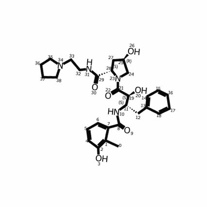 Cc1c(O)cccc1C(=O)N[C@@H](Cc1ccccc1)[C@H](O)C(=O)N1C[C@H](O)C[C@H]1C(=O)NCCN1CCCC1